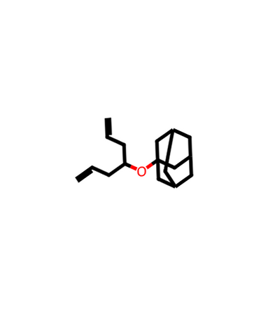 C=CCC(CC=C)OC12CC3CC(CC(C3)C1)C2